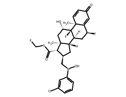 C[C@]12C[C@H](O)[C@@]3(F)[C@@H](C[C@H](F)C4=CC(=O)C=C[C@@]43C)[C@@H]1C[C@@H](CN(O)c1cccc(Cl)c1)[C@@H]2C(=O)SCF